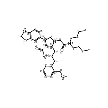 CCCCN(CCCC)C(=O)CN1C[C@H](c2ccc3c(c2)OCO3)[C@@H](C(=O)O)[C@@H]1CCCc1ccccc1CO